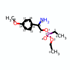 CCOP(=O)(CC)OCC(N)c1ccc(OC)cc1